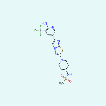 CS(=O)(=O)NC1CCN(c2nn3cc(-c4cnc(N)c(C(F)(F)F)c4)nc3s2)CC1